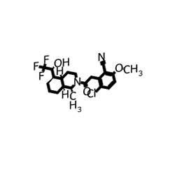 COc1ccc(Cl)c(CC(=O)N2CC[C@H]3[C@H]([C@H](O)C(F)(F)F)CCC[C@@H]3[C@@H]2C)c1C#N